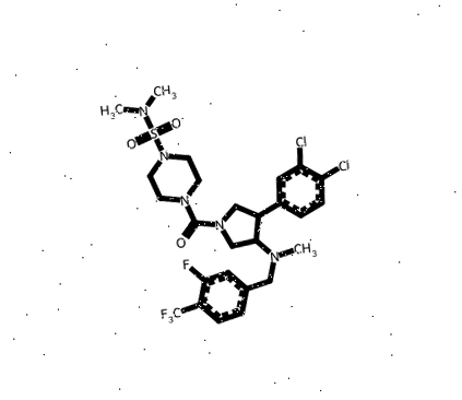 CN(Cc1ccc(C(F)(F)F)c(F)c1)C1CN(C(=O)N2CCN(S(=O)(=O)N(C)C)CC2)CC1c1ccc(Cl)c(Cl)c1